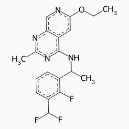 CCOc1cc2c(NC(C)c3cccc(C(F)F)c3F)nc(C)nc2cn1